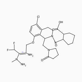 CN(N)/C(=C(\N)COc1ccc(Cl)c2c1C(CN1CCCC1=O)N(C(=O)C1CCCCC1C(=O)O)CC2)C(F)F